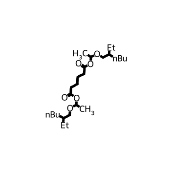 CCCCC(CC)COC(C)OC(=O)CCCCC(=O)OC(C)OCC(CC)CCCC